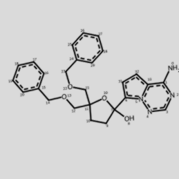 Nc1ncnn2c(C3(O)CCC(COCc4ccccc4)(COCc4ccccc4)O3)ccc12